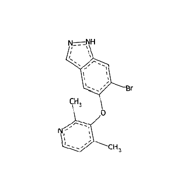 Cc1ccnc(C)c1Oc1cc2cn[nH]c2cc1Br